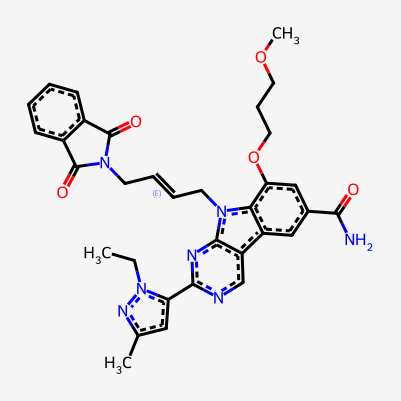 CCn1nc(C)cc1-c1ncc2c3cc(C(N)=O)cc(OCCCOC)c3n(C/C=C/CN3C(=O)c4ccccc4C3=O)c2n1